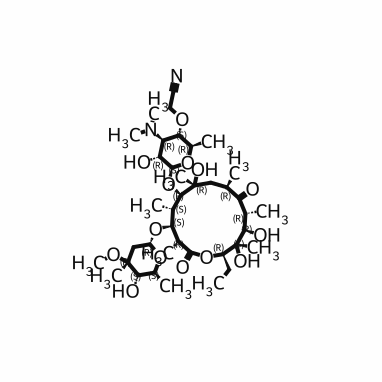 CC[C@H]1OC(=O)[C@H](C)[C@@H](O[C@H]2C[C@@](C)(OC)[C@@H](O)[C@H](C)O2)[C@H](C)[C@@H](O[C@@H]2O[C@H](C)[C@@H](OCC#N)[C@H](N(C)C)[C@H]2O)[C@](C)(O)C[C@@H](C)C(=O)[C@H](C)[C@@H](O)[C@]1(C)O